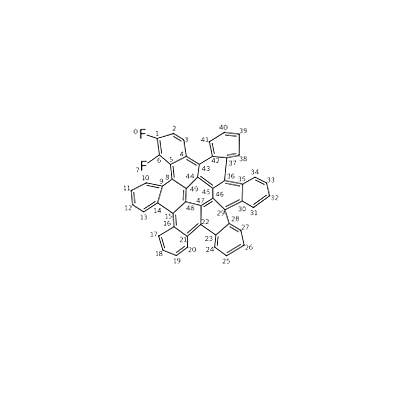 Fc1ccc2c(c1F)c1c3ccccc3c3c4ccccc4c4c5ccccc5c5c6ccccc6c6c7ccccc7c2c2c6c5c4c3c12